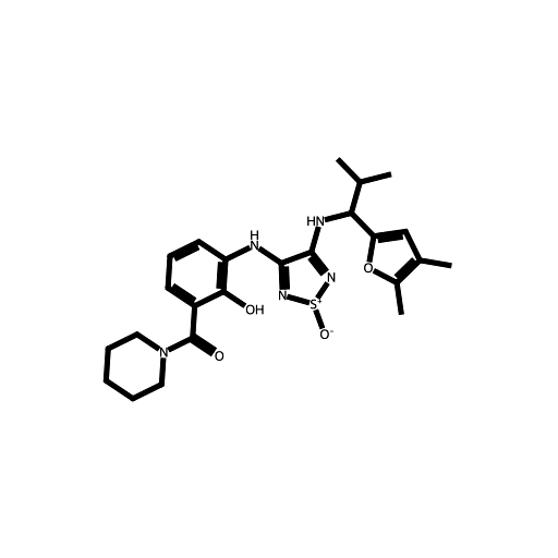 Cc1cc(C(Nc2n[s+]([O-])nc2Nc2cccc(C(=O)N3CCCCC3)c2O)C(C)C)oc1C